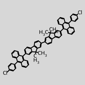 CC1(C)c2cc(-c3ccc4c(c3)C(C)(C)c3cc(-c5c6ccccc6c(-c6ccc(Cl)cc6)c6ccccc56)ccc3-4)ccc2-c2ccc(-c3c4ccccc4c(-c4ccc(Cl)cc4)c4ccccc34)cc21